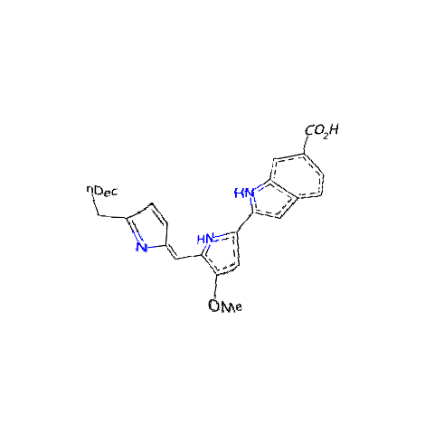 CCCCCCCCCCCC1=NC(=Cc2[nH]c(-c3cc4ccc(C(=O)O)cc4[nH]3)cc2OC)C=C1